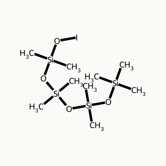 C[Si](C)(C)O[Si](C)(C)O[Si](C)(C)O[Si](C)(C)OI